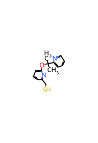 CC(C)(Oc1cccc(CS)n1)c1ccccn1